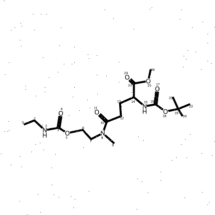 CCNC(=O)OCCN(C)C(=O)CCC(NC(=O)OC(C)(C)C)C(=O)OC